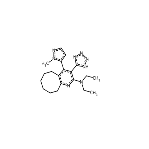 CCN(CC)c1nc2c(c(-c3ccnn3C)c1-c1nnn[nH]1)CCCCCC2